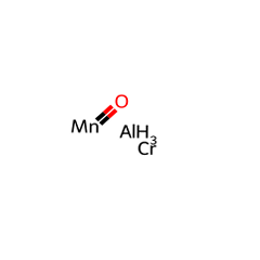 [AlH3].[Cr].[O]=[Mn]